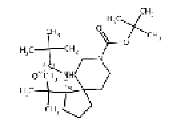 CC(C)(C)OC(=O)N1CCC2(CCC[C@@]2(N[S@+]([O-])C(C)(C)C)C(C)(C)C)CC1